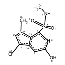 CNS(=O)(=O)c1nc(O)cc2c(Cl)cn(C)c12